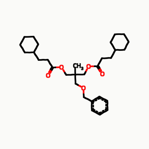 CC(COCc1ccccc1)(COC(=O)CCC1CCCCC1)COC(=O)CCC1CCCCC1